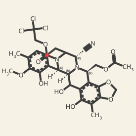 COc1c(C)cc2c(c1O)[C@@H]1[C@@H]3C(O)c4c(O)c(C)c5c(c4[C@H](COC(C)=O)N3[C@@H](C#N)C(C2)N1C(=O)OCC(Cl)(Cl)Cl)OCO5